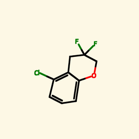 FC1(F)COc2cccc(Cl)c2C1